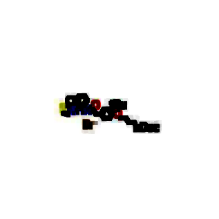 CCCCCCCCCCCCCCOc1ccc(CC(=O)Nc2ccccc2C[n+]2ccsc2C)cc1C(C)(C)C.[Br-]